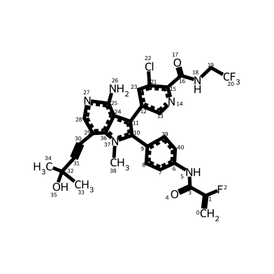 C=C(F)C(=O)Nc1ccc(-c2c(-c3cnc(C(=O)NCC(F)(F)F)c(Cl)c3)c3c(N)ncc(C#CC(C)(C)O)c3n2C)cc1